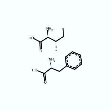 CC[C@H](C)[C@H](N)C(=O)O.N[C@H](Cc1ccccc1)C(=O)O